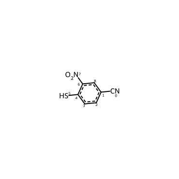 N#Cc1ccc(S)c([N+](=O)[O-])c1